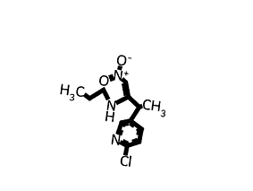 CCCNC(=C[N+](=O)[O-])C(C)c1ccc(Cl)nc1